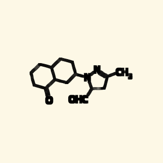 CC1=NN(C2CCC3CCCC(=O)C3C2)C(C=O)C1